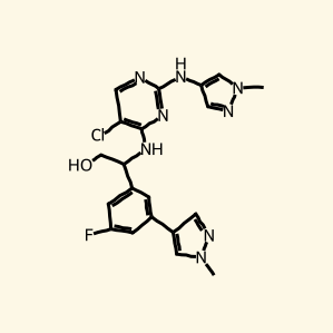 Cn1cc(Nc2ncc(Cl)c(NC(CO)c3cc(F)cc(-c4cnn(C)c4)c3)n2)cn1